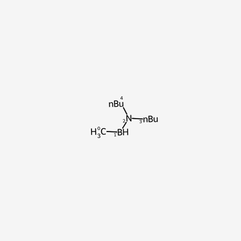 CBN(CCCC)CCCC